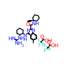 C#CC1(NC(=O)c2nc(NC3CCCCC3NC(=N)N)c3cc(C)ccc3n2)CCCCC1.O=C(O)C(F)(F)F.O=C(O)C(F)(F)F